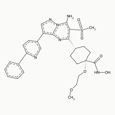 COCCO[C@]1(C(=O)NO)CC[C@H](c2nc3c(-c4ccc(-c5ccccc5)nc4)cnn3c(N)c2S(C)(=O)=O)CC1